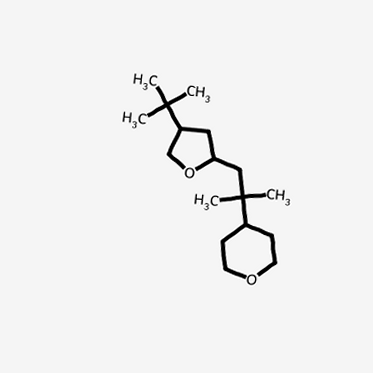 CC(C)(C)C1COC(CC(C)(C)C2CCOCC2)C1